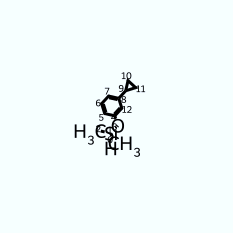 C[SiH](C)Oc1cccc(C2CC2)c1